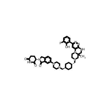 CC12CNc3nnc(-c4cccc(F)c4O)cc3N1CCN(C[C@H]1CC[C@H](CN3CCN(c4ccc5c(c4)C(=O)N([C@H]4CCC(=O)NC4=O)C5)CC3)CC1)C2